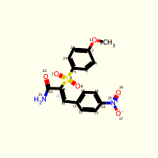 COc1ccc(S(=O)(=O)/C(=C\c2ccc([N+](=O)[O-])cc2)C(N)=O)cc1